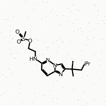 CC(C)CC(C)(C)c1cn2nc(NCCOS(C)(=O)=O)ccc2n1